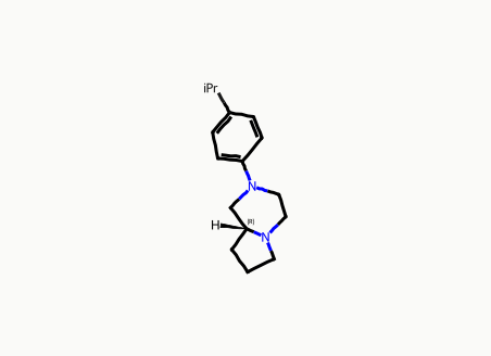 CC(C)c1ccc(N2CCN3CCC[C@@H]3C2)cc1